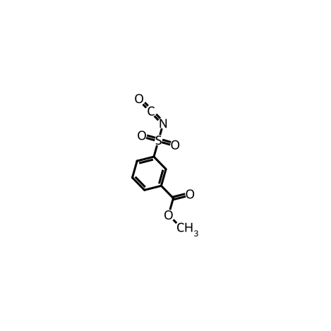 COC(=O)c1cccc(S(=O)(=O)N=C=O)c1